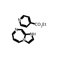 C1=CN2C=CNC2=CN=C1.CCOC(=O)c1ccncc1